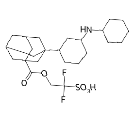 O=C(OCC(F)(F)S(=O)(=O)O)C12CC3CC(C1)CC(C1CCCC(NC4CCCCC4)C1)(C3)C2